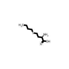 CCCCSCC[C@@H](N)C(=O)O